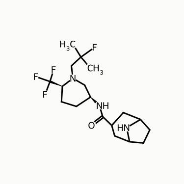 CC(C)(F)CN1C[C@@H](NC(=O)C2CC3CCC(C2)N3)CC[C@H]1C(F)(F)F